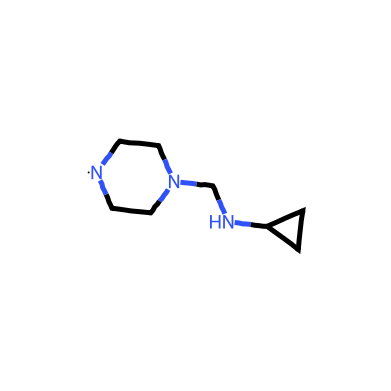 C1CN(CNC2CC2)CC[N]1